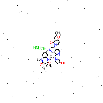 CCN1C(=O)C(C)(C)C(=O)N(C)c2cc(CN(CCn3ccc4oc(C)cc4c3=O)Cc3cccnc3CN3CCC(O)C3)ccc21.Cl.Cl.Cl